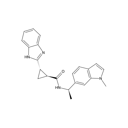 C[C@@H](NC(=O)[C@H]1C[C@@H]1c1nc2ccccc2[nH]1)c1ccc2ccn(C)c2c1